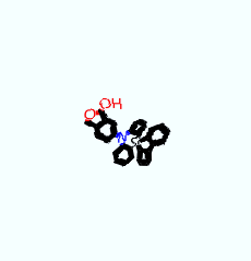 OC1OCc2ccc(N3c4ccccc4[Si]4(c5ccccc5-c5ccccc54)c4ccccc43)cc21